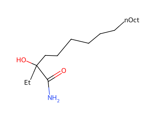 CCCCCCCCCCCCCCC(O)(CC)C(N)=O